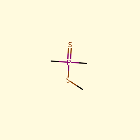 CSP(C)(C)=S